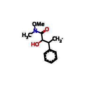 [CH2]C(c1ccccc1)C(O)C(=O)N(C)OC